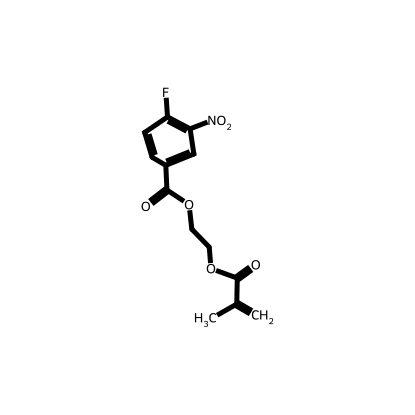 C=C(C)C(=O)OCCOC(=O)c1ccc(F)c([N+](=O)[O-])c1